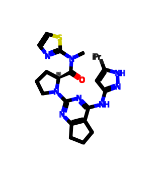 CC(C)c1cc(Nc2nc(N3CCC[C@H]3C(=O)N(C)c3nccs3)nc3c2CCC3)n[nH]1